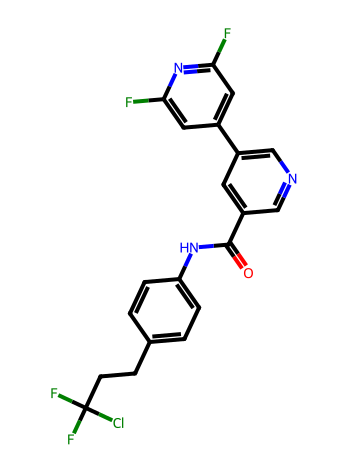 O=C(Nc1ccc(CCC(F)(F)Cl)cc1)c1cncc(-c2cc(F)nc(F)c2)c1